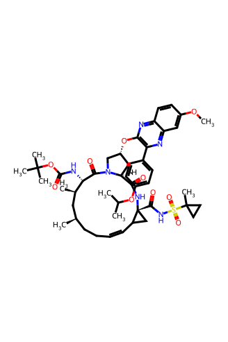 COc1ccc2nc(O[C@@H]3C[C@H]4C(=O)N[C@]5(C(=O)NS(=O)(=O)C6(C)CC6)CC5/C=C\CC[C@@H](C)C[C@@H](C)[C@H](NC(=O)OC(C)(C)C)C(=O)N4C3)c(-c3ccc(OC(C)C)cc3)nc2c1